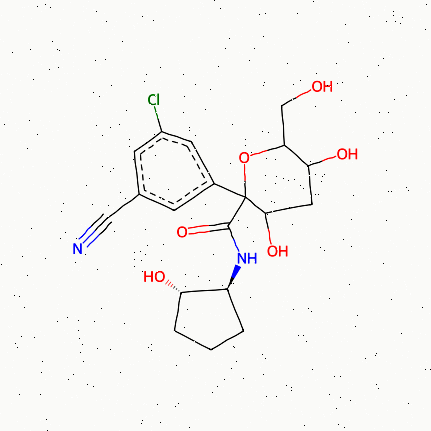 N#Cc1cc(Cl)cc(C2(C(=O)N[C@H]3CCC[C@@H]3O)OC(CO)C(O)CC2O)c1